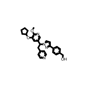 COc1ncc(C(Cc2ccncc2)n2ccc(-c3ccc(CO)cc3)n2)cc1OC1CCCC1